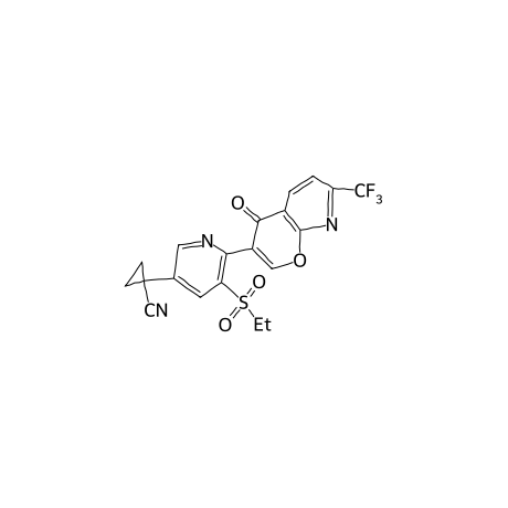 CCS(=O)(=O)c1cc(C2(C#N)CC2)cnc1-c1coc2nc(C(F)(F)F)ccc2c1=O